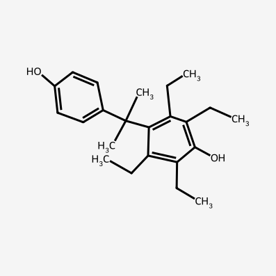 CCc1c(O)c(CC)c(CC)c(C(C)(C)c2ccc(O)cc2)c1CC